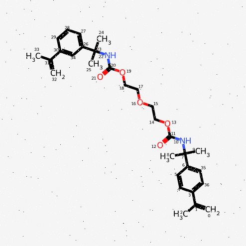 C=C(C)c1ccc(C(C)(C)NC(=O)OCCOCCOC(=O)NC(C)(C)c2cccc(C(=C)C)c2)cc1